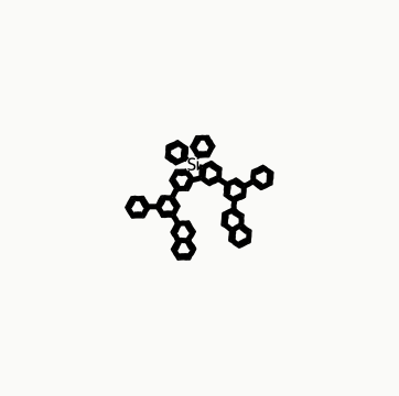 c1ccc(-c2cc(-c3ccc4c(c3)-c3cc(-c5cc(-c6ccccc6)cc(-c6ccc7ccccc7c6)c5)ccc3[Si]4(c3ccccc3)c3ccccc3)cc(-c3ccc4ccccc4c3)c2)cc1